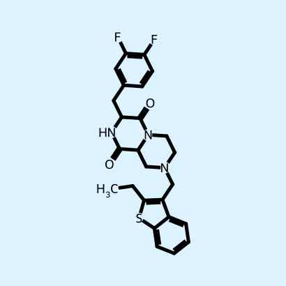 CCc1sc2ccccc2c1CN1CCN2C(=O)C(Cc3ccc(F)c(F)c3)NC(=O)C2C1